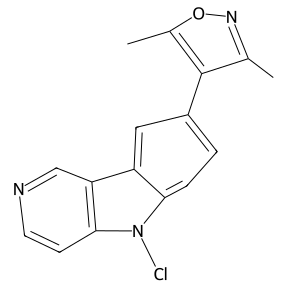 Cc1noc(C)c1-c1ccc2c(c1)c1cnccc1n2Cl